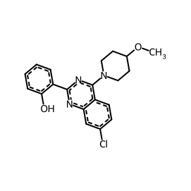 COC1CCN(c2nc(-c3ccccc3O)nc3cc(Cl)ccc23)CC1